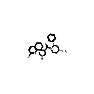 C[C@@H]1CCN(C(=O)C2CNC[C@]23CCCc2ccc(Cl)nc23)[C@H](c2ccccc2)C1